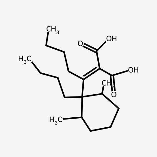 CCCCC(=C(C(=O)O)C(=O)O)C1(CCCC)C(C)CCCC1C